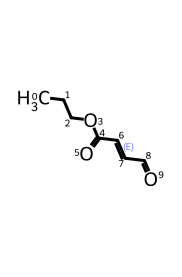 CCCOC(=O)/C=C/C=O